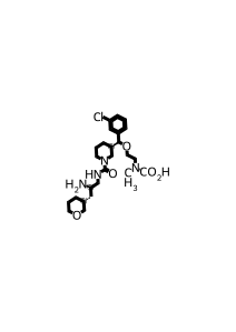 CN(CCOC(c1cccc(Cl)c1)[C@@H]1CCCN(C(=O)NC[C@H](N)C[C@H]2CCCOC2)C1)C(=O)O